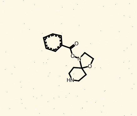 O=C(ON1CCOC12CCNCC2)c1ccccc1